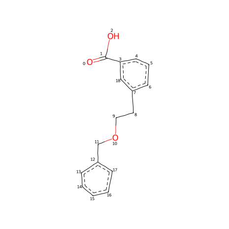 O=C(O)c1cccc(CCOCc2ccccc2)c1